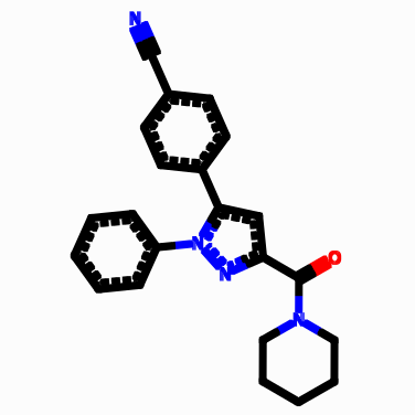 N#Cc1ccc(-c2cc(C(=O)N3CCCCC3)nn2-c2ccccc2)cc1